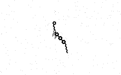 CCCCCCCc1ccc(-c2ccc(-c3ccc(OCCCCC4CCCC4)c(F)c3F)cc2)cc1